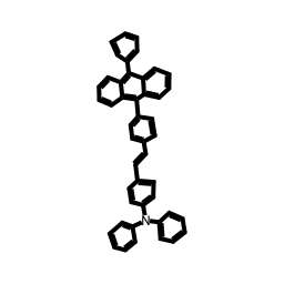 C(=C\c1ccc(N(c2ccccc2)c2ccccc2)cc1)/c1ccc(-c2c3ccccc3c(-c3ccccc3)c3ccccc23)cc1